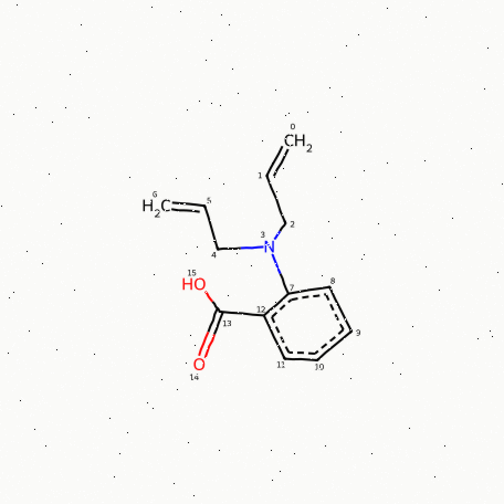 C=CCN(CC=C)c1ccccc1C(=O)O